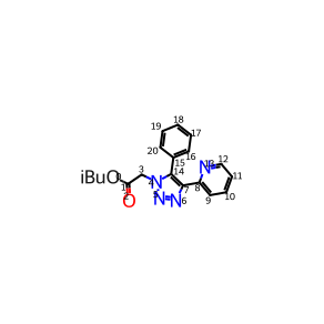 CC(C)COC(=O)Cn1nnc(-c2ccccn2)c1-c1ccccc1